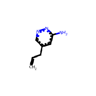 C=CCc1cnnc(N)c1